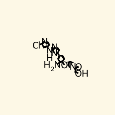 Nc1cc(-c2ccnc(Nc3ccnc(Cl)c3)n2)ccc1O[C@@H]1CCN(C(=O)CO)C1